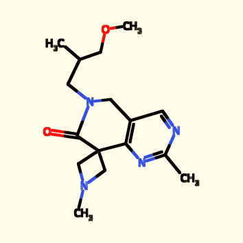 COCC(C)CN1Cc2cnc(C)nc2C2(CN(C)C2)C1=O